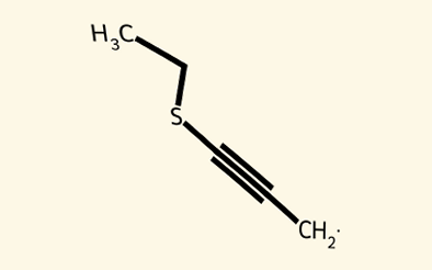 [CH2]C#CSCC